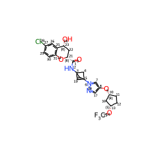 O=C(NC12CC(n3cc(O[C@@H]4CC[C@H](OC(F)(F)F)C4)cn3)(C1)C2)[C@H]1C[C@@H](O)c2cc(Cl)ccc2O1